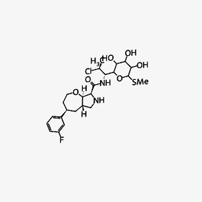 CSC1OC([C@H](NC(=O)[C@H]2NC[C@@H]3C[C@@H](c4cccc(F)c4)CCO[C@H]32)[C@H](C)Cl)C(O)C(O)C1O